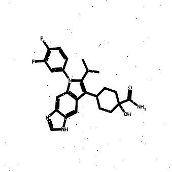 CC(C)c1c(C2CCC(O)(C(N)=O)CC2)c2cc3[nH]cnc3cc2n1-c1ccc(F)c(F)c1